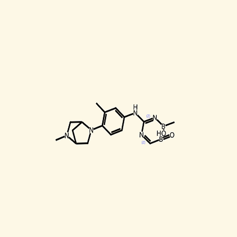 CB(O)/N=C(\N=C/B=O)Nc1ccc(N2CC3CC2CN3C)c(C)c1